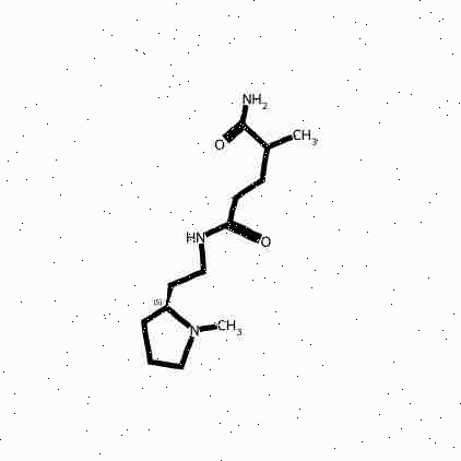 CC(C[CH]C(=O)NCC[C@@H]1CCCN1C)C(N)=O